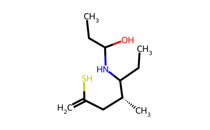 C=C(S)C[C@@H](C)C(CC)NC(O)CC